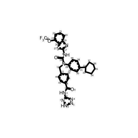 O=C(Nc1nn[nH]n1)c1ccc(CN(C(=O)Nc2nc3cccc(OC(F)(F)F)c3s2)c2ccc(C3CCCCC3)cc2)cc1